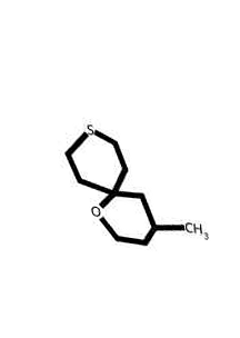 CC1CCOC2(CCSCC2)C1